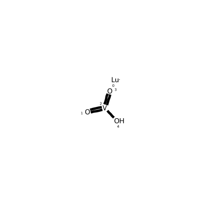 [Lu].[O]=[V](=[O])[OH]